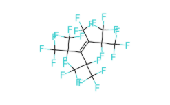 FC(F)(F)C(=C(C(F)(C(F)(F)F)C(F)(F)F)C(F)(C(F)(F)F)C(F)(F)F)C(F)(C(F)(F)F)C(F)(F)F